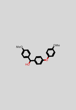 COc1ccc(Oc2ccc(C(O)c3ccc(OC)cc3)cc2)cc1